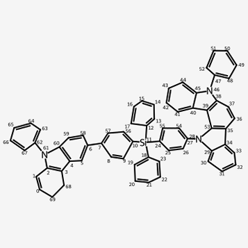 C1=Cc2c(c3cc(-c4ccc([Si](c5ccccc5)(c5ccccc5)c5ccc(-n6c7ccccc7c7ccc8c(c9ccccc9n8-c8ccccc8)c76)cc5)cc4)ccc3n2-c2ccccc2)CC1